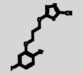 N#Cc1nnc(OCCCOc2cc(F)ccc2Br)s1